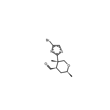 C[C@H]1C[C@@H](C=O)[C@](C)(c2nc(Br)cs2)CO1